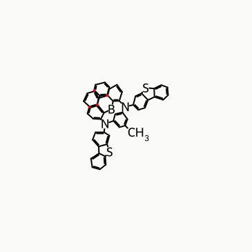 Cc1cc2c3c(c1)N(c1ccc4c(c1)sc1ccccc14)c1cccc(-c4ccccc4)c1B3C1=C(C=CCC1c1ccccc1)N2c1ccc2c(c1)sc1ccccc12